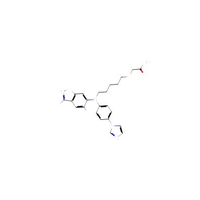 Cc1cc2c(C)noc2cc1N(CCCCCOCC(=O)O)c1ccc(-n2ccnc2)cc1